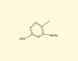 CC(=O)Nc1cc(C=O)ccc1C